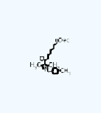 CCCCCCCCCCCCCCCCCC(=O)c1c(C)cn(Cc2ccc(C)cc2)c1C